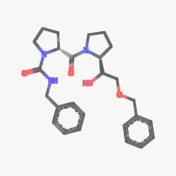 O=C(NCc1ccccc1)N1CCC[C@@H]1C(=O)N1CCC[C@H]1C(O)COCc1ccccc1